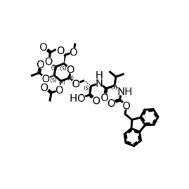 COC(=O)[C@H]1O[C@@H](OC[C@H](NC(=O)[C@@H](NC(=O)OCC2c3ccccc3-c3ccccc32)C(C)C)C(=O)O)[C@H](OC(C)=O)[C@@H](OC(C)=O)[C@@H]1OC(C)=O